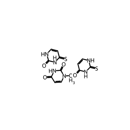 Cn1ccc(=O)[nH]c1=O.O=c1[nH]ccc(=S)[nH]1.O=c1cc[nH]c(=S)[nH]1